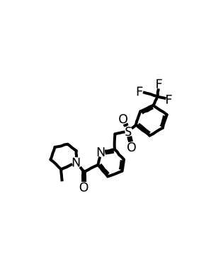 CC1CCCCN1C(=O)c1cccc(CS(=O)(=O)c2cccc(C(F)(F)F)c2)n1